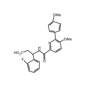 COc1ccc(-c2nc(C(=O)NC(CC(=O)O)c3ccccc3F)ccc2OC)cc1